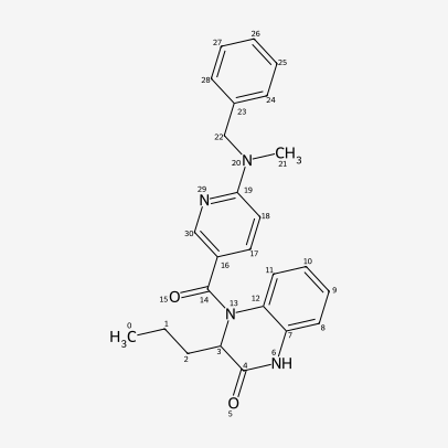 CCCC1C(=O)Nc2ccccc2N1C(=O)c1ccc(N(C)Cc2ccccc2)nc1